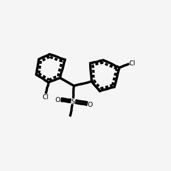 CS(=O)(=O)C(c1ccc(Cl)cc1)c1ccccc1Cl